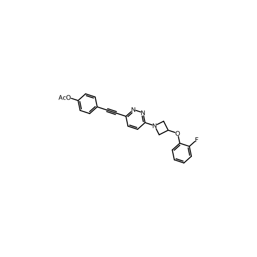 CC(=O)Oc1ccc(C#Cc2ccc(N3CC(Oc4ccccc4F)C3)nn2)cc1